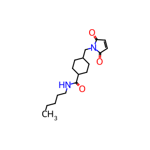 CCCCCNC(=O)C1CCC(CN2C(=O)C=CC2=O)CC1